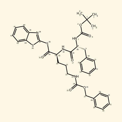 CC(C)(C)OC(=O)N[C@H](Cc1ccccc1)C(=O)N[C@@H](CCCNC(=O)OCc1ccccc1)C(=O)Sc1nc2ccccc2s1